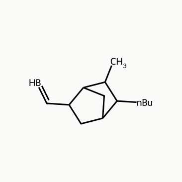 B=CC1CC2CC1C(C)C2CCCC